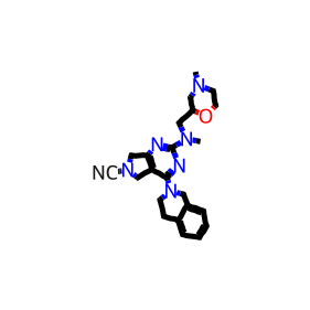 CN1CCOC(CN(C)c2nc3c(c(N4CCc5ccccc5C4)n2)CN(C#N)C3)C1